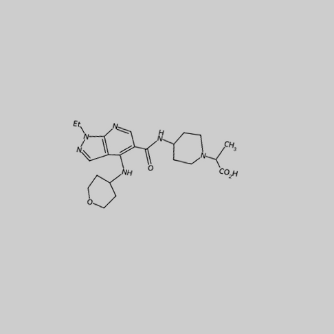 CCn1ncc2c(NC3CCOCC3)c(C(=O)NC3CCN(C(C)C(=O)O)CC3)cnc21